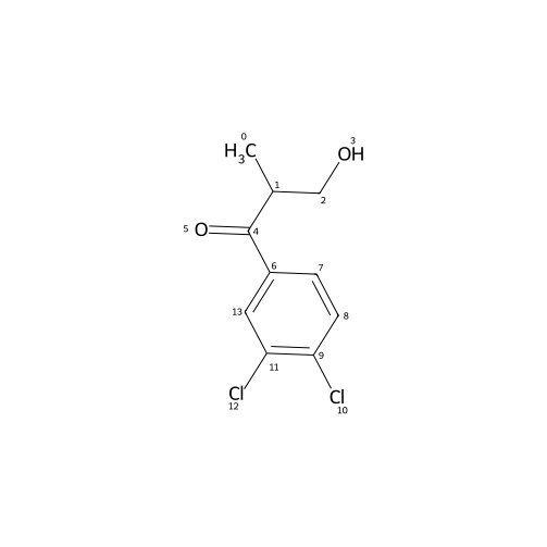 CC(CO)C(=O)c1ccc(Cl)c(Cl)c1